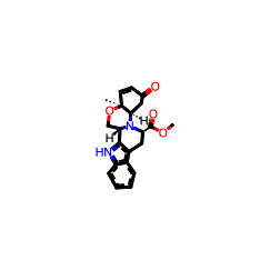 COC(=O)[C@H]1Cc2c([nH]c3ccccc23)[C@@H]2CO[C@@]3(C)C=CC(=O)C[C@H]3N12